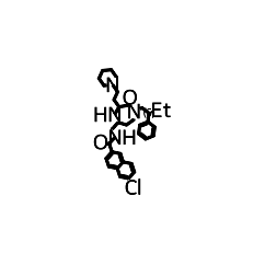 CC[C@H](CN1CCC(CNC(=O)c2ccc3cc(Cl)ccc3c2)NC(CCN2CCCCC2)C1=O)c1ccccc1